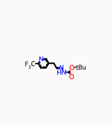 CC(C)(C)OC(=O)NN=CCc1ccc(C(F)(F)F)nc1